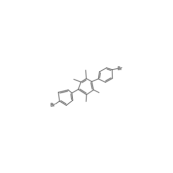 Cc1c(C)c(-c2ccc(Br)cc2)c(C)c(C)c1-c1ccc(Br)cc1